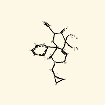 CC1(C)C(=O)C(C#N)CC2(c3ccccc3)C(=O)N(CC3CC3)CC=C12